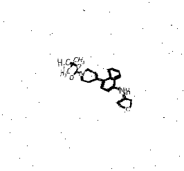 CC(C)(C)OC(=O)N1CCC(c2ccc(NC3CCOCC3)c3ccccc23)CC1